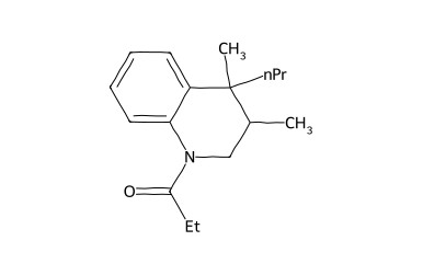 CCCC1(C)c2ccccc2N(C(=O)CC)CC1C